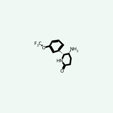 N[C@@H]1CCC(=O)N[C@@H]1c1cccc(OC(F)(F)F)c1